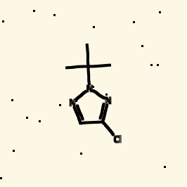 CC(C)(C)n1ncc(Cl)n1